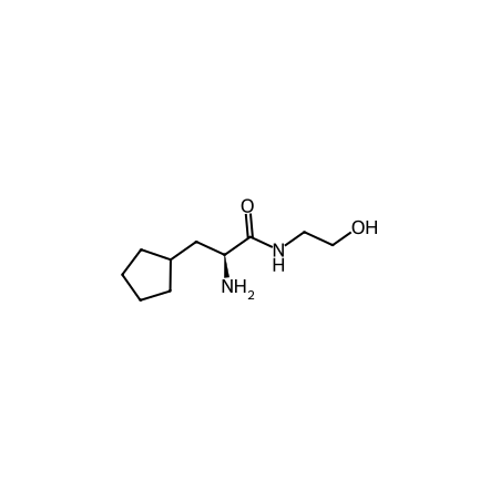 N[C@@H](CC1CCCC1)C(=O)NCCO